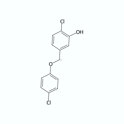 Oc1cc([C]Oc2ccc(Cl)cc2)ccc1Cl